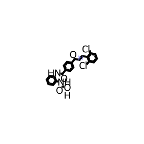 O=C(O)Nc1ccccc1NC(=O)c1ccc(C(=O)/C=C/c2c(Cl)cccc2Cl)cc1